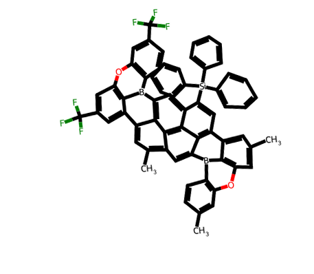 Cc1ccc2c(c1)Oc1cc(C)cc3c1B2c1cc2c(C)cc4c5c(cc6c([Si](c7ccccc7)(c7ccccc7)c7ccccc7)cc-3c1c6c25)B1c2ccc(C(F)(F)F)cc2Oc2cc(C(F)(F)F)cc-4c21